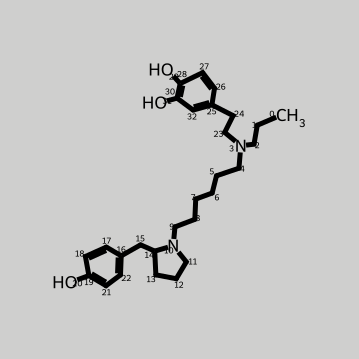 CCCN(CCCCCCN1CCCC1Cc1ccc(O)cc1)CCc1ccc(O)c(O)c1